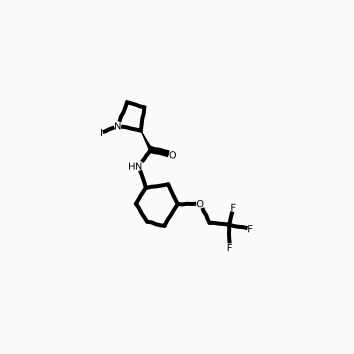 O=C(NC1CCCC(OCC(F)(F)F)C1)[C@@H]1CCN1I